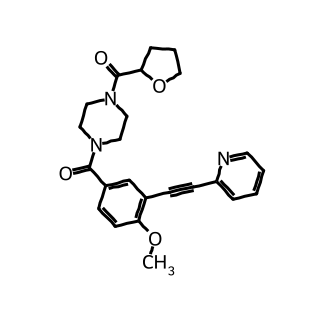 COc1ccc(C(=O)N2CCN(C(=O)C3CCCO3)CC2)cc1C#Cc1ccccn1